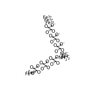 O=S(=O)([O-])[O-].O=S(=O)([O-])[O-].O=S(=O)([O-])[O-].O=S(=O)([O-])[O-].O=S(=O)([O-])[O-].O=S(=O)([O-])[O-].[Fe+3].[Fe+3].[Fe+3].[Fe+3].[Fe+3].[NH2-].[NH2-].[NH2-]